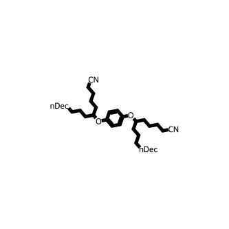 CCCCCCCCCCCCCC(CCCCC#N)Oc1ccc(OC(CCCCC#N)CCCCCCCCCCCCC)cc1